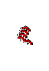 Cc1cc(C2CCC(C(C)NC(=O)c3ccc(Cl)cc3)CC2)ccn1.Cc1cc(C2CCC([C@@H](C)NC(=O)c3ccc(Cl)cc3)CC2)ccn1.Cc1cc(C2CCC([C@@H](C)NC(=O)c3ccc(Cl)cc3)CC2)ccn1.Cc1cc(C2CCC([C@H](C)NC(=O)c3ccc(Cl)cc3)CC2)ccn1.Cc1cc(C2CCC([C@H](C)NC(=O)c3ccc(Cl)cc3)CC2)ccn1